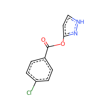 O=C(Oc1cc[nH]n1)c1ccc(Cl)cc1